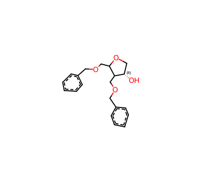 O[C@H]1COC(COCc2ccccc2)C1COCc1ccccc1